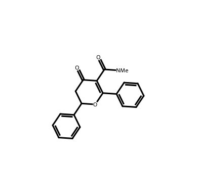 CNC(=O)C1=C(c2ccccc2)OC(c2ccccc2)CC1=O